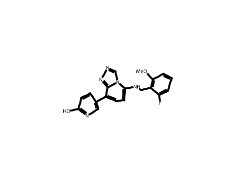 COc1cccc(F)c1CNc1ccc(-c2ccc(O)nc2)c2nncn12